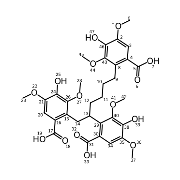 COc1cc(C(=O)O)c(CCCCC(Cc2c(C(=O)O)cc(OC)c(O)c2OC)c2c(C(=O)O)cc(OC)c(O)c2OC)c(OC)c1O